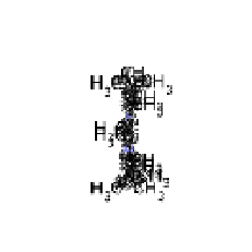 Cc1ccc(N(c2cc(C)cc(C)c2)c2ccc3c(c2)C(C)(C)C2=CC(/C=C/c4ccc5c(c4)C(C)(C)c4cc(/C=C/c6ccc7c(c6)C(C)(C)c6cc(N(c8ccc(C)cc8)c8cc(C)cc(C)c8)ccc6-7)ccc4-5)CC=C23)cc1